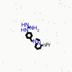 CCCC1C=CC=C2N(Cc3ccc(NC(=N)N)cc3)C=CN21